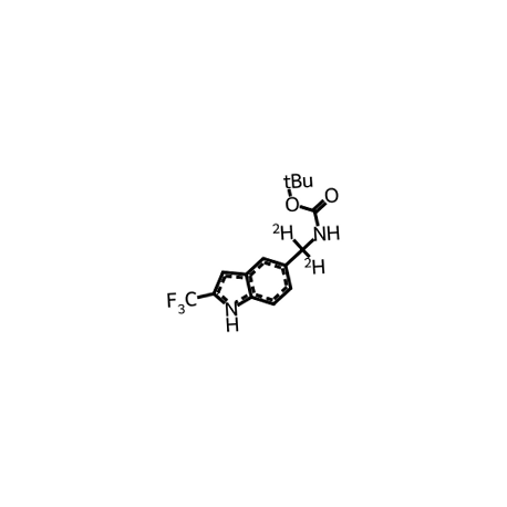 [2H]C([2H])(NC(=O)OC(C)(C)C)c1ccc2[nH]c(C(F)(F)F)cc2c1